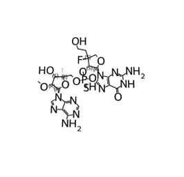 CO[C@H]1[C@H](n2cnc3c(N)ncnc32)O[C@](C)(COP(O)(=S)O[C@H]2[C@H](n3cnc4c(=O)[nH]c(N)nc43)OC[C@@]2(F)CCO)[C@H]1O